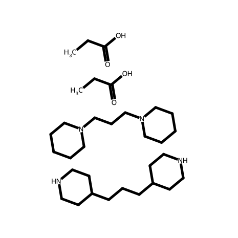 C(CC1CCNCC1)CC1CCNCC1.C1CCN(CCCN2CCCCC2)CC1.CCC(=O)O.CCC(=O)O